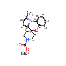 CC(C)(C)OC(=O)N1CCC2(CC1)Oc1ccccc1-n1c(C(F)(F)F)ccc12